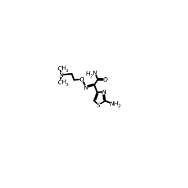 CN(C)CCON=C(C(N)=O)c1csc(N)n1